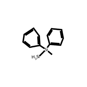 C[Si]([SiH3])(c1ccccc1)c1ccccc1